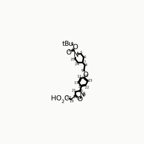 CC(C)(C)OC(=O)N1CCC(CCOc2ccc(C3=NO[C@@H](CC(=O)O)C3)cc2)CC1